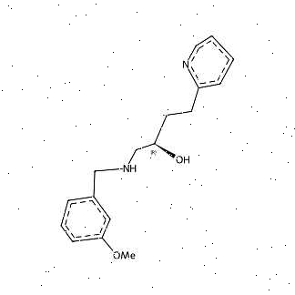 COc1cccc(CNC[C@H](O)[CH]Cc2ccccn2)c1